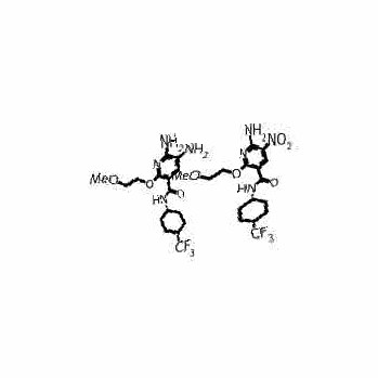 COCCOc1nc(N)c(N)cc1C(=O)N[C@H]1CC[C@H](C(F)(F)F)CC1.COCCOc1nc(N)c([N+](=O)[O-])cc1C(=O)N[C@H]1CC[C@H](C(F)(F)F)CC1